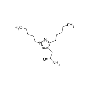 CCCCCc1nn(CCCCC)cc1CC(N)=O